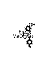 CCC(C(=O)OC)n1/c(=N/C(=O)c2ccc(C)cc2)sc2cc(O)ccc21